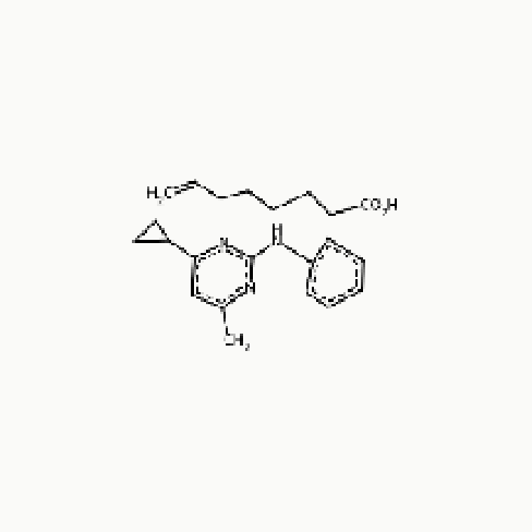 C=CCCCCCC(=O)O.Cc1cc(C2CC2)nc(Nc2ccccc2)n1